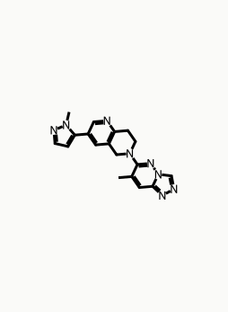 Cc1cc2nncn2nc1N1CCc2ncc(-c3ccnn3C)cc2C1